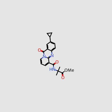 COC(=O)C(C)(C)NC(=O)c1cccn2c(=O)c3cc(C4CC4)ccc3nc12